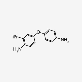 CC(C)c1cc(Oc2ccc(N)cc2)ccc1N